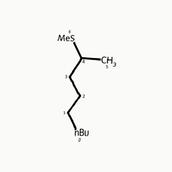 [CH2]CCCCCCC(C)SC